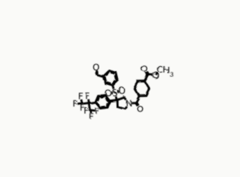 COC(=O)C1CCC(C(=O)N2CCC(c3ccc(C(F)(C(F)(F)F)C(F)(F)F)cc3)(S(=O)(=O)c3cccc(C=O)c3)C2)CC1